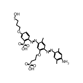 Cc1cc(/N=N/c2cc(C)c(/N=N/c3ccc(OCCCSO)cc3S(=O)(=O)O)cc2OCCCS(=O)(=O)O)c(C)cc1N